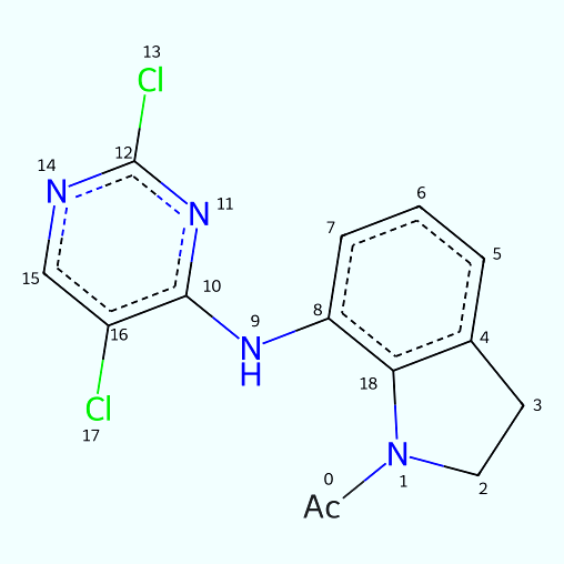 CC(=O)N1CCc2cccc(Nc3nc(Cl)ncc3Cl)c21